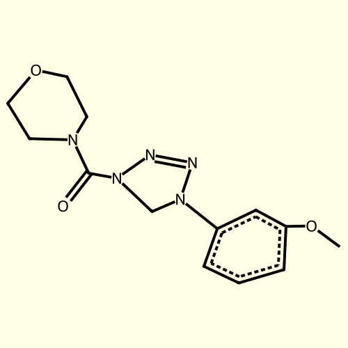 COc1cccc(N2CN(C(=O)N3CCOCC3)N=N2)c1